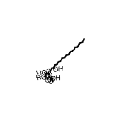 CCCCCCCCCCCCC/C=C/[C@@H](O)CCOC1OC(C(=O)O)C(O)C(O)C1O